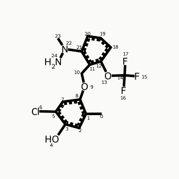 Cc1cc(O)c(Cl)cc1OCc1c(OC(F)(F)F)cccc1N(C)N